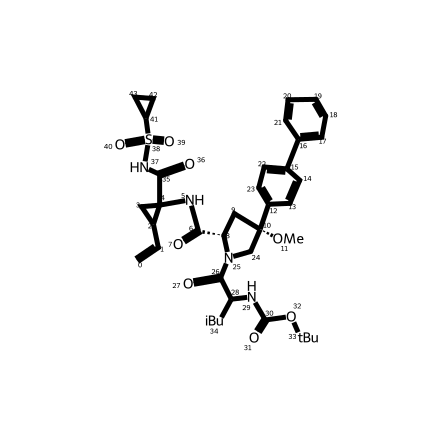 C=CC1CC1(NC(=O)[C@@H]1C[C@@](OC)(c2ccc(-c3ccccc3)cc2)CN1C(=O)C(NC(=O)OC(C)(C)C)C(C)CC)C(=O)NS(=O)(=O)C1CC1